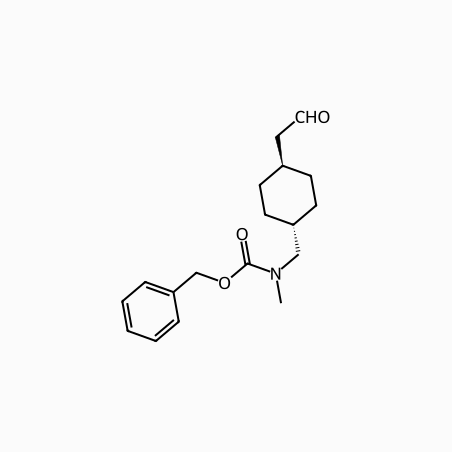 CN(C[C@H]1CC[C@H](CC=O)CC1)C(=O)OCc1ccccc1